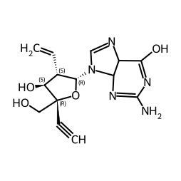 C#C[C@]1(CO)O[C@@H](N2C=NC3C(O)=NC(N)=NC32)[C@@H](C=C)[C@@H]1O